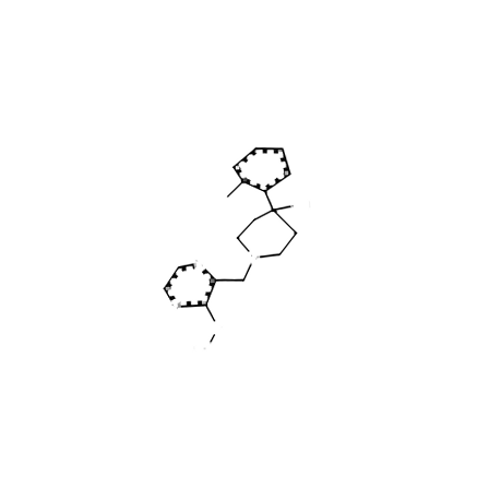 CC(C)(C)Oc1nccnc1CN1CCC(O)(c2ccccc2F)CC1